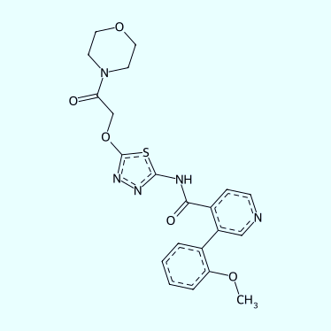 COc1ccccc1-c1cnccc1C(=O)Nc1nnc(OCC(=O)N2CCOCC2)s1